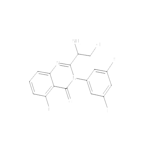 NC(CC(F)(F)F)c1nc2cccc(F)c2c(=O)n1-c1cc(F)cc(F)c1